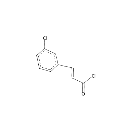 O=C(Cl)C=Cc1cccc(Cl)c1